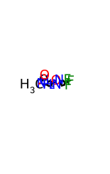 CN(Cc1ccc(C(=O)Nc2ccc(C(F)(F)F)cc2N)cc1)C1CCOCC1